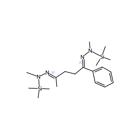 C/C(CC/C(=N/N(C)[Si](C)(C)C)c1ccccc1)=N\N(C)[Si](C)(C)C